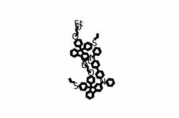 C=CCSc1ccc(C2(c3ccc(OCCOCC)cc3)c3ccccc3-c3ccc(N(c4ccccc4)c4ccc(-c5ccc(N(c6ccccc6)c6ccc7c(c6)C(c6ccc(OCCOCC)cc6)(c6ccc(SCC=C)cc6)c6ccccc6-7)cc5)cc4)cc32)cc1